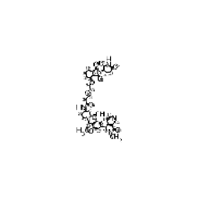 COc1cc(-c2cn(C)c(=O)c3cnccc23)cc(OC)c1CN1CCC(NC(=O)CCOCCOc2cccc3c2C(=O)N(C2CCC(=O)NC2=O)C3=O)CC1